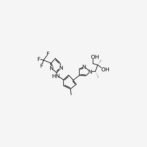 Cc1cc(Nc2nccc(C(F)(F)F)n2)cc(-c2cnn([C@@H](C)[C@](C)(O)CO)c2)c1